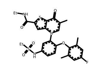 CCNC(=O)c1cc2c(s1)c(=O)c(C)cn2-c1cc(NS(=O)(=O)CC)ccc1Oc1c(C)cc(F)cc1C